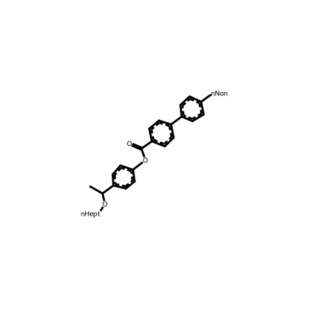 CCCCCCCCCc1ccc(-c2ccc(C(=O)Oc3ccc(C(C)OCCCCCCC)cc3)cc2)cc1